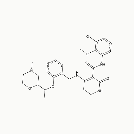 COc1c(Cl)cccc1NC(=S)C1=C(NCc2ccncc2OC(C)C2CN(C)CCO2)CCNC1=O